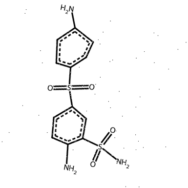 Nc1ccc(S(=O)(=O)c2ccc(N)c(S(N)(=O)=O)c2)cc1